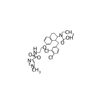 CCN(C(=O)O)C1CCc2ccc(OCCNS(=O)(=O)c3cn(C)cn3)cc2C1Cc1ccc(Cl)c(Cl)c1